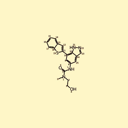 CN(CCO)C(=O)Nc1cc(-c2cc3ccccc3s2)c2[nH]ncc2c1